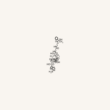 CC(C)(COP(=O)(O)OP(=O)(O)OC[C@H]1O[C@@H](n2cnc3c(N)ncnc32)[C@H](O)[C@@H]1OP(=O)(O)O)[C@@H](O)C(=O)NCCC(=O)NCCSC(=O)[C@](C)(O)c1ccccc1